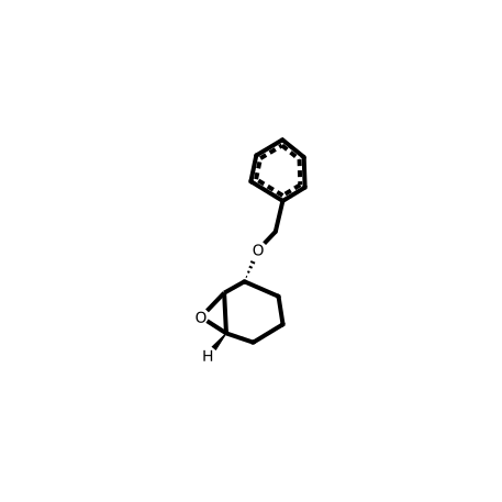 c1ccc(CO[C@@H]2CCC[C@@H]3OC32)cc1